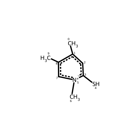 Cc1cc(S)[n+](C)cc1C